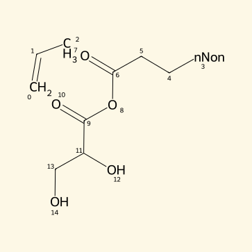 C=CC.CCCCCCCCCCCC(=O)OC(=O)C(O)CO